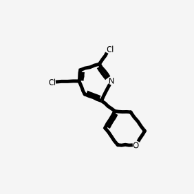 Clc1cc(Cl)nc(C2=CCOCC2)c1